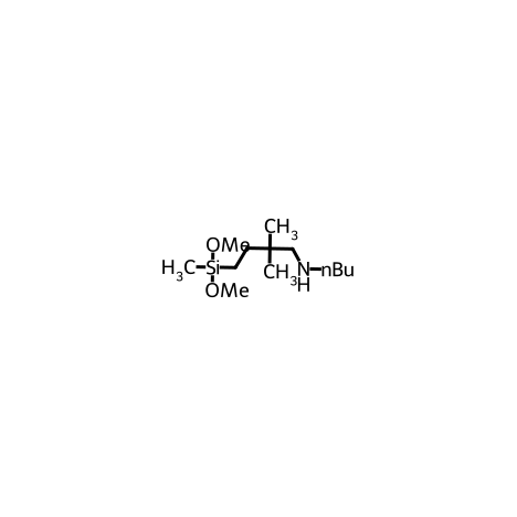 CCCCNCC(C)(C)CC[Si](C)(OC)OC